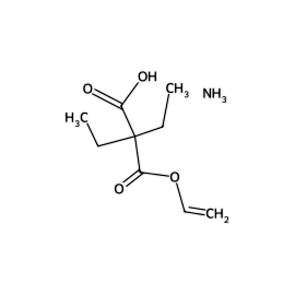 C=COC(=O)C(CC)(CC)C(=O)O.N